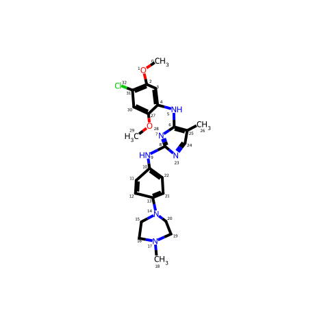 COc1cc(Nc2nc(Nc3ccc(N4CCN(C)CC4)cc3)ncc2C)c(OC)cc1Cl